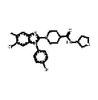 O=C(NC1CCOC1)C1CCN(c2nc3cc(Cl)c(Cl)cc3n2-c2ccc(Br)cc2)CC1